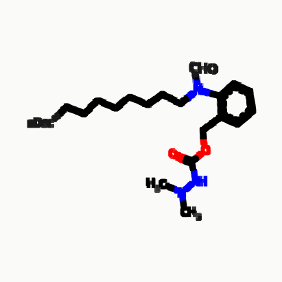 CCCCCCCCCCCCCCCCCCN(C=O)c1ccccc1COC(=O)NN(C)C